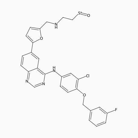 O=[S+]CCNCc1ccc(-c2ccc3ncnc(Nc4ccc(OCc5cccc(F)c5)c(Cl)c4)c3c2)o1